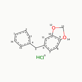 Cl.c1ccc(Cc2ccc3c(c2)OCO3)cc1